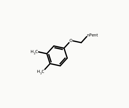 CCCCCCOc1ccc(C)c(C)c1